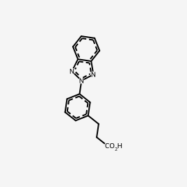 O=C(O)CCc1cccc(-n2nc3ccccc3n2)c1